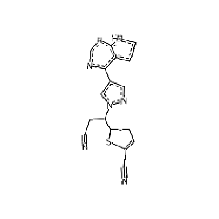 N#CCC(C1CC=C(C#N)S1)n1cc(-c2ncnc3[nH]ccc23)cn1